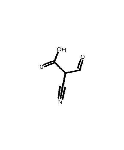 N#CC(C=O)C(=O)O